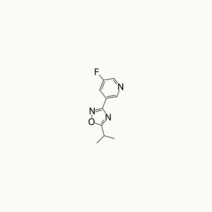 CC(C)c1nc(-c2cncc(F)c2)no1